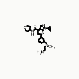 CN(CCN)Cc1cccc(-c2cc(C(=O)NC3CCOCC3)c3cnn(C4CC4)c3n2)c1